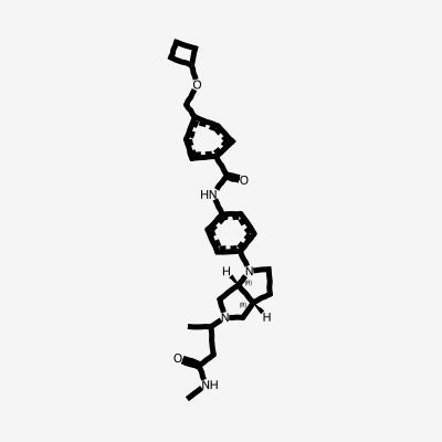 CNC(=O)CC(C)N1C[C@H]2CCN(c3ccc(NC(=O)c4ccc(COC5CCC5)cc4)cc3)[C@H]2C1